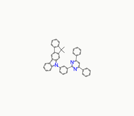 CC1(C)c2ccccc2-c2cc3c4ccccc4n(-c4cccc(-c5nc(-c6ccccc6)cc(-c6ccccc6)n5)c4)c3cc21